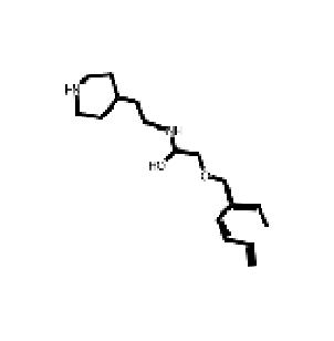 C=C/C=C\C(=C/C)COCC(O)NCCC1CCNCC1